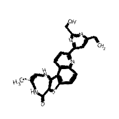 C=Cc1cc(-c2ccc3c(ccc4sc5c(c43)NC[C@@H](C)NC5=O)n2)nc(CO)n1